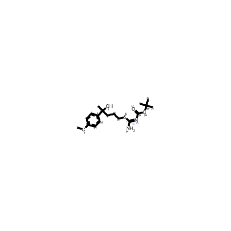 COc1ccc(C(C)(O)CCCS/C(N)=N\C(=O)OC(C)(C)C)cc1